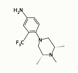 C[C@@H]1CN(c2ccc(N)cc2C(F)(F)F)C[C@H](C)N1C